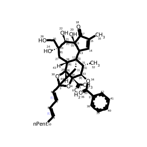 C=C(C)[C@@]12OC3(/C=C/C=C/CCCCC)C[C@]4(C5C=C(C)C(=O)[C@@]5(O)[C@H](O)[C@](O)(CO)C[C@H]4[C@H]1O3)[C@H](C)[C@H]2OC(=O)c1ccccc1